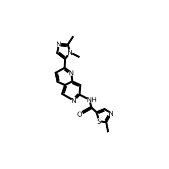 Cc1ncc(C(=O)Nc2cc3nc(-c4cnc(C)n4C)ccc3cn2)s1